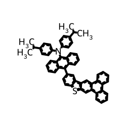 CC(C)c1ccc(N(c2ccc(C(C)C)cc2)c2c3ccccc3c(-c3ccc4sc5cc6c7ccccc7c7ccccc7c6cc5c4c3)c3ccccc23)cc1